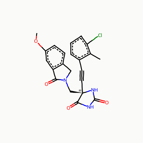 COc1ccc2c(c1)C(=O)N(C[C@@]1(C#Cc3cccc(Cl)c3C)NC(=O)NC1=O)C2